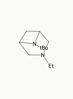 CCN1CC2CC(C1)N2C(C)(C)C